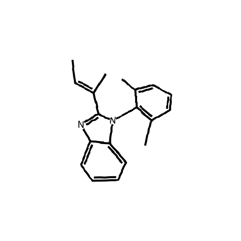 C/C=C(\C)c1nc2ccccc2n1-c1c(C)cccc1C